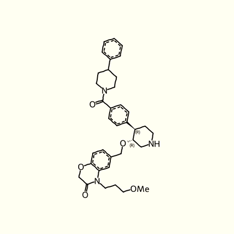 COCCCN1C(=O)COc2ccc(CO[C@H]3CNCC[C@@H]3c3ccc(C(=O)N4CCC(c5ccccc5)CC4)cc3)cc21